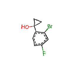 OC1(c2ccc(F)cc2Br)CC1